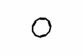 [C]1=CCC=CC=CC=CCC1